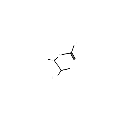 CCCC(=O)N[C@H](C)C(C)Br